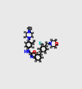 CCN1CCN(c2ccc(Nc3nc4cccc(-c5ccc(CN6CCOCC6)c(F)c5)c4o3)cc2C)CC1